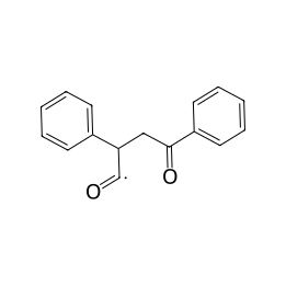 O=[C]C(CC(=O)c1ccccc1)c1ccccc1